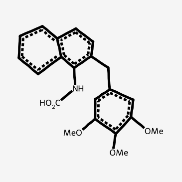 COc1cc(Cc2ccc3ccccc3c2NC(=O)O)cc(OC)c1OC